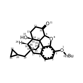 CCCCOc1ccc2c3c1OC1C(=O)CC[C@@]4(O)[C@@H](C2)N(CC2CC2)CC[C@]314